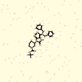 CC(C)(C)OC(=O)N1CCCC(n2c(=O)[nH]c3c(N(Cc4ccccc4)Cc4ccccc4)ncnc32)C1